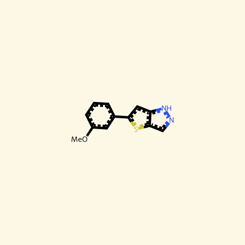 COc1cccc(-c2cc3[nH]ncc3s2)c1